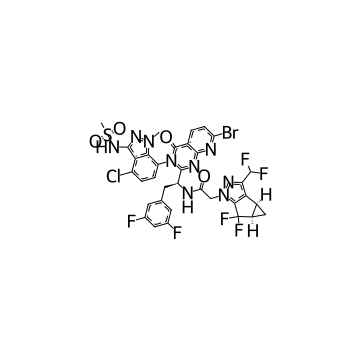 Cn1nc(NS(C)(=O)=O)c2c(Cl)ccc(-n3c([C@H](Cc4cc(F)cc(F)c4)NC(=O)Cn4nc(C(F)F)c5c4C(F)(F)[C@@H]4C[C@H]54)nc4nc(Br)ccc4c3=O)c21